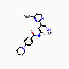 CNc1ccnc(C(/C=C(\C=O)NC(=O)c2ccc(N3CCCCC3)cc2)=C/N)n1